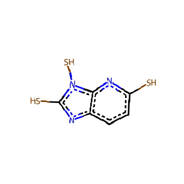 Sc1ccc2nc(S)n(S)c2n1